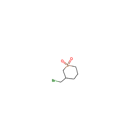 O=S1(=O)CCCC(CBr)C1